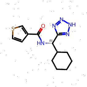 O=C(N[C@H](c1nn[nH]n1)C1CCCCC1)c1ccsc1